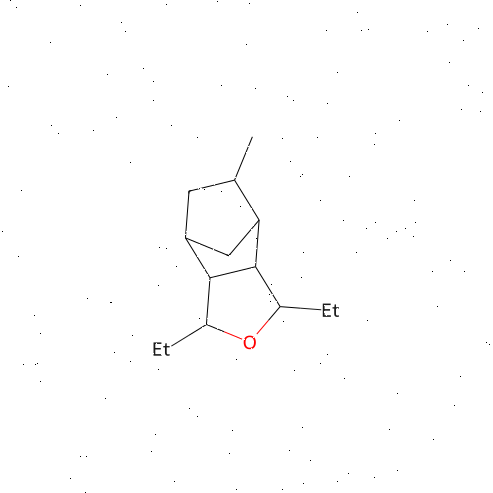 CCC1OC(CC)C2C3CC(CC3C)C12